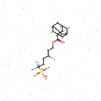 O=C(OCCC(F)CCC(F)(F)S(=O)(=O)O)C12CC3CC(CC(C3)C1)C2